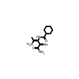 C/C(N)=C(\NC(=O)C1CCCCC1)C(=N)C(N)=O